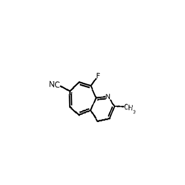 CC1=CCC2=CC=C(C#N)C=C(F)C2=N1